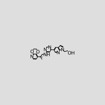 C[C@H](CNc1cc(-c2cnc3c(ccn3CCO)c2)ncn1)c1ccnc2c1OCCO2